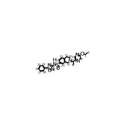 CCOc1cnc(C(C)N2CCc3ccc([S+]([O-])Nc4noc(-c5ccccc5)n4)cc3C2)cn1